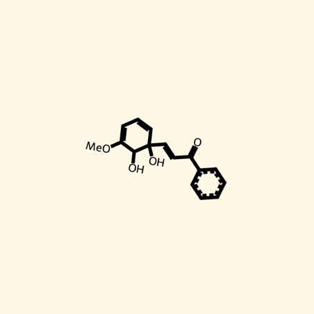 COC1=CC=CC(O)(C=CC(=O)c2ccccc2)C1O